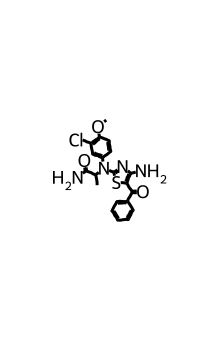 COc1ccc(N(c2nc(N)c(C(=O)c3ccccc3)s2)C(C)C(N)=O)cc1Cl